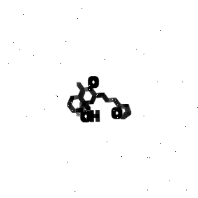 CC1=C2CCC[C@H](O)[C@@]2(C)CC(=CCCc2ccco2)C1=O